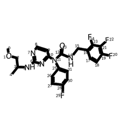 COCC(C)Nc1nccc(N(C(=O)NCc2ccc(F)c(F)c2F)c2ccc(F)cc2)n1